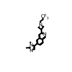 Cc1ncc(-c2ccc3cnc(C4CN(CCC(F)(F)F)C4)cc3c2)n1C